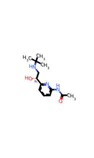 CC(=O)Nc1cccc([C@H](O)CNC(C)(C)C)n1